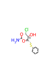 NC(=O)O[C@@H](CSc1ccccc1)[C@H](O)CCl